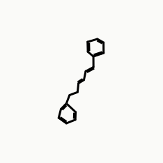 C(C=Cc1ccccc1)=CCCc1ccccc1